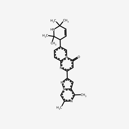 Cc1cn2nc(-c3cc(=O)n4cc(C5C=CC(C)(C)NC5(C)C)ccc4n3)cc2c(C)n1